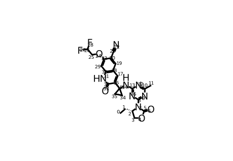 CC[C@H]1COC(=O)N1c1nc(C)nc(NC2(c3cc4cc(C#N)c(OCC(F)F)cc4[nH]c3=O)CC2)n1